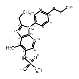 CCc1nc2c(C)c(NS(C)(=O)=O)cnc2n1-c1ccc(CCCl)cc1